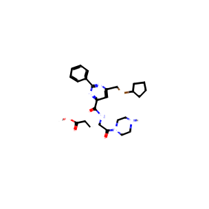 CCOC(=O)N1CCN(C(=O)[C@H](CCC(=O)OC(C)(C)C)NC(=O)c2cc(CSC3CCCC3)nc(-c3ccccc3)n2)CC1